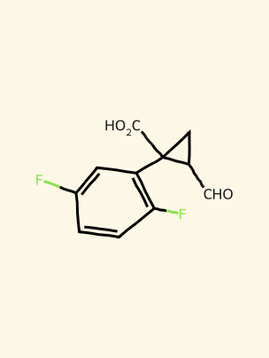 O=CC1CC1(C(=O)O)c1cc(F)ccc1F